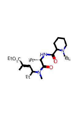 CCOC(=O)/C(C)=C/C(CC)N(C)C(=O)[C@@H](NC(=O)C1CCCCN1C(C)CC)C(C)C